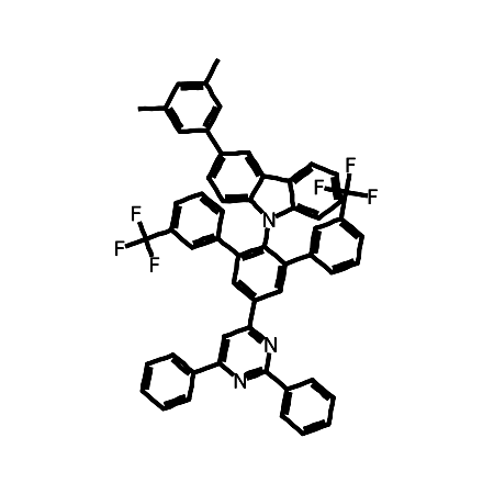 Cc1cc(C)cc(-c2ccc3c(c2)c2ccccc2n3-c2c(-c3cccc(C(F)(F)F)c3)cc(-c3cc(-c4ccccc4)nc(-c4ccccc4)n3)cc2-c2cccc(C(F)(F)F)c2)c1